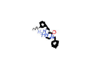 CCCc1cccc(C[C@H](N)C[C@@H]2NCCN(Cc3ccccc3)C2=O)c1